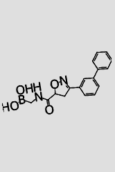 O=C(NCB(O)O)C1CC(c2cccc(-c3ccccc3)c2)=NO1